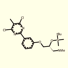 CNC[C@H](COc1cccc(-c2nc(Cl)c(C)c(Cl)n2)c1)O[Si](C)(C)C(C)(C)C